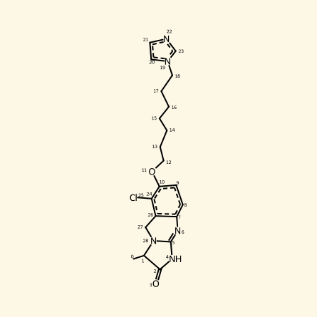 CC1C(=O)NC2=Nc3ccc(OCCCCCCCn4ccnc4)c(Cl)c3CN21